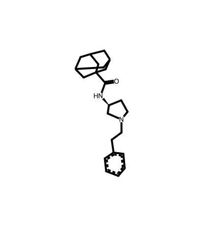 O=C(N[C@H]1CCN(CCc2ccccc2)C1)C12CC3CC(CC(C3)C1)C2